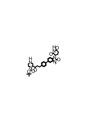 Cn1c(=O)n(C2CCC(=O)NC2=O)c2ccc(-c3ccc(CCC(=O)C4CNCCN4C(=O)OC(C)(C)C)cc3)cc21